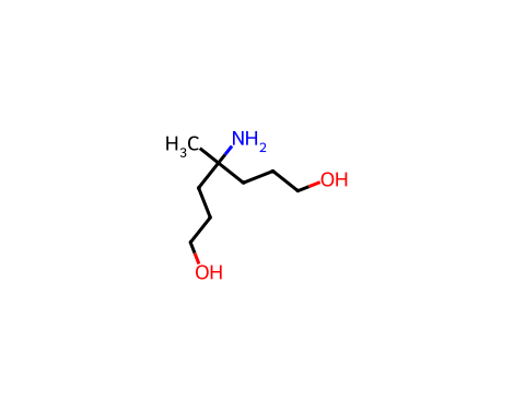 CC(N)(CCCO)CCCO